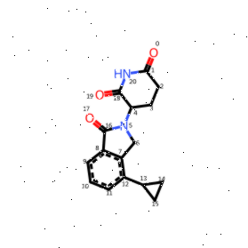 O=C1CCC(N2Cc3c(cccc3C3CC3)C2=O)C(=O)N1